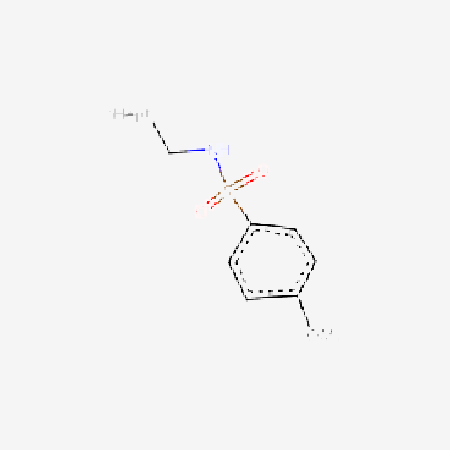 CCCCCCCCNS(=O)(=O)c1ccc(OC)cc1